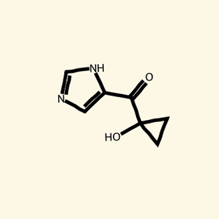 O=C(c1cnc[nH]1)C1(O)CC1